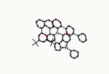 CC(C)(C)c1cc(-c2cccc3cccc(-c4ccccc4N(c4ccccc4-c4ccc(-c5ccccc5)cc4)c4cccc5c4c4ccccc4n5-c4ccccc4)c23)cc(C(C)(C)C)c1